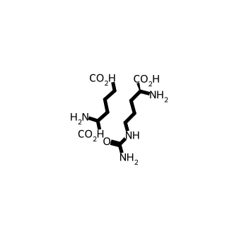 NC(=O)NCCC[C@H](N)C(=O)O.NC(CCCC(=O)O)C(=O)O